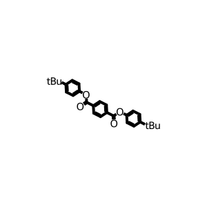 CC(C)(C)c1ccc(OC(=O)c2ccc(C(=O)Oc3ccc(C(C)(C)C)cc3)cc2)cc1